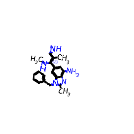 CN/C(=C(/C)C=N)c1cc(N)c2nc(C)n(Cc3ccccc3)c2c1